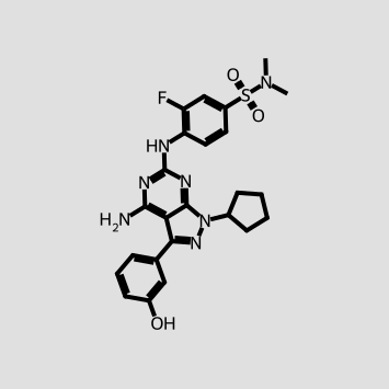 CN(C)S(=O)(=O)c1ccc(Nc2nc(N)c3c(-c4cccc(O)c4)nn(C4CCCC4)c3n2)c(F)c1